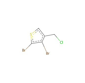 ClCc1csc(Br)c1Br